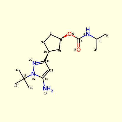 CC(C)NC(=O)O[C@@H]1CC[C@H](c2cc(N)n(C(C)(C)C)n2)C1